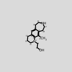 Cc1c2c(cc3c1N(CCO)CCC3)CCNCC2